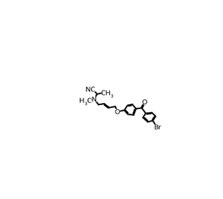 CC(C#N)N(C)C/C=C/COc1ccc(C(=O)c2ccc(Br)cc2)cc1